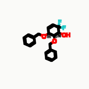 O[C@H]1[C@H](OCc2ccccc2)[C@@H](OCc2ccccc2)C=CC1(F)F